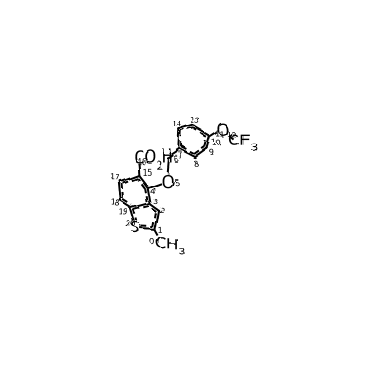 Cc1cc2c(OCc3ccc(OC(F)(F)F)cc3)c(C(=O)O)ccc2s1